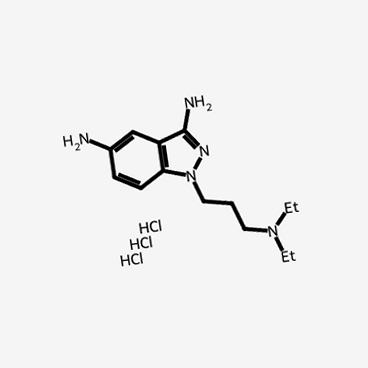 CCN(CC)CCCn1nc(N)c2cc(N)ccc21.Cl.Cl.Cl